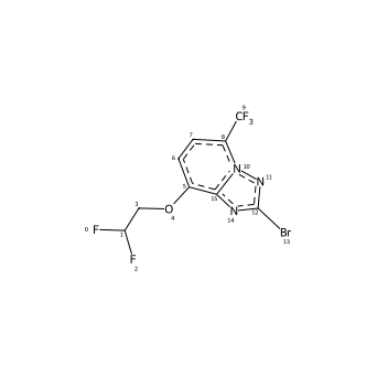 FC(F)COc1ccc(C(F)(F)F)n2nc(Br)nc12